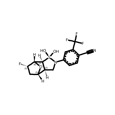 N#Cc1ccc(N2C[C@@H]3[C@@H]([C@@H]4O[C@H]3C[C@@H]4F)S2(O)O)cc1C(F)(F)F